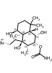 CC[C@@H](C)CC[C@@]1(O)[C@@H](C)[C@@H](OC(N)=O)[C@@H](O)[C@H]2C(C)(C)CC[C@H](O)[C@@]21C